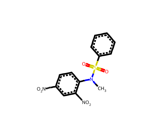 CN(c1ccc([N+](=O)[O-])cc1[N+](=O)[O-])S(=O)(=O)c1ccccc1